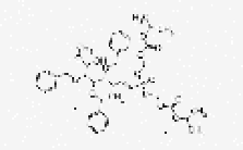 COC(O)C(OCc1ccccc1)C(OCc1ccccc1)C(OCc1ccccc1)C(C)/C=C/P(=O)(OCOC(=O)OC(C)C)OCOC(=O)OC(C)C